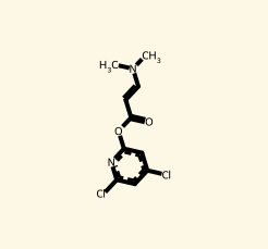 CN(C)C=CC(=O)Oc1cc(Cl)cc(Cl)n1